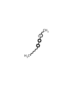 CCCCCCCCc1ccc(-c2ccc(C3CCC(CCC)CO3)cc2)cc1